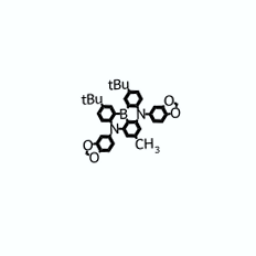 Cc1cc2c3c(c1)N(c1ccc4c(c1)OCO4)c1ccc(C(C)(C)C)cc1B3c1cc(C(C)(C)C)ccc1N2c1ccc2c(c1)OCO2